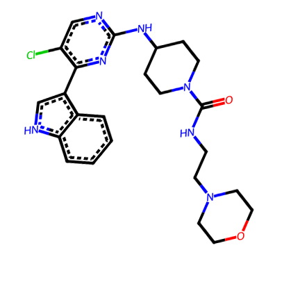 O=C(NCCN1CCOCC1)N1CCC(Nc2ncc(Cl)c(-c3c[nH]c4ccccc34)n2)CC1